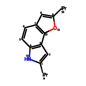 CC(C)c1cc2c(ccc3cc(C(C)C)oc32)[nH]1